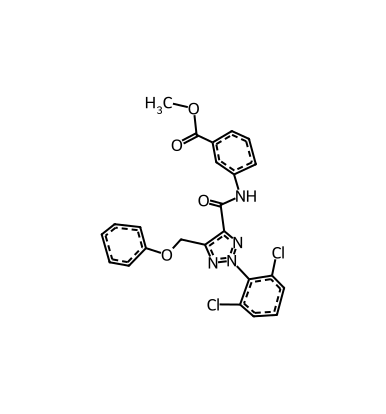 COC(=O)c1cccc(NC(=O)c2nn(-c3c(Cl)cccc3Cl)nc2COc2ccccc2)c1